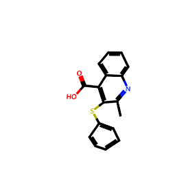 Cc1nc2ccccc2c(C(=O)O)c1Sc1ccccc1